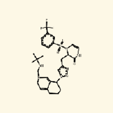 CC(C)(C)NCN1C=C2C(=CC1)CCCC2n1cc(CC2C(=O)NC=CN2S(=O)(=O)c2cccc(C(F)(F)F)c2)nn1